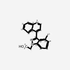 O=C(O)Cn1nc(-c2ccnc3ccccc23)c2c(I)cccc21